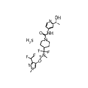 CC(O)c1cc(NC(=O)N2CCC(C(F)(F)N(C)SOc3cn(C)nc3C(F)F)CC2)ccn1.S